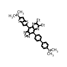 CCc1nc2c(-c3ccc(-c4ccc(N(C)C)cc4)cc3)c3nsnc3c(-c3cc4sc(N(C)C)cc4s3)c2nc1CC